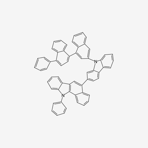 c1ccc(-c2ccc(-c3cc(-n4c5ccccc5c5ccc(-c6cc7c8ccccc8n(-c8ccccc8)c7c7ccccc67)cc54)cc4ccccc34)c3ccccc23)cc1